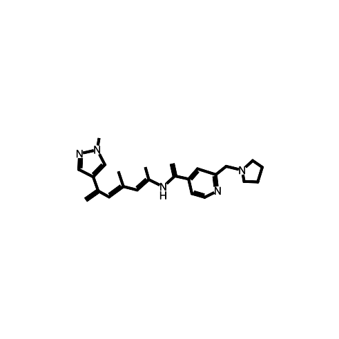 C=C(/C=C(C)/C=C(\C)NC(=C)c1ccnc(CN2CCCC2)c1)c1cnn(C)c1